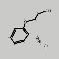 I.I.OCCOc1ccccc1.[Os]